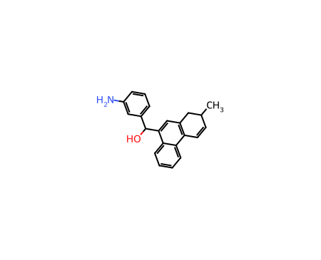 CC1C=Cc2c(cc(C(O)c3cccc(N)c3)c3ccccc23)C1